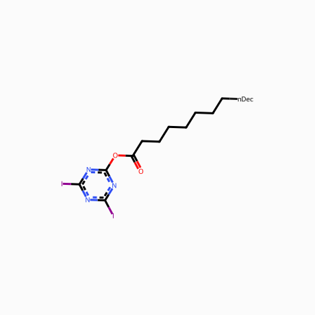 CCCCCCCCCCCCCCCCCC(=O)Oc1nc(I)nc(I)n1